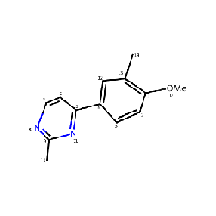 COc1ccc(-c2ccnc(C)n2)cc1C